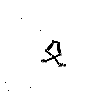 CSC1(C(C)(C)C)N=CN=N1